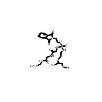 CCCC(COC(C)C)OCCNP(=O)(NCCN1C(=O)C2C3C=CC(O3)C2C1=O)NCC(=O)NCC(=O)NCC(=O)O